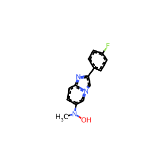 CN(O)c1ccc2nc(-c3ccc(F)cc3)cn2c1